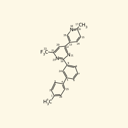 Cc1ccc(-c2cccc(-c3nc(-c4ccc(C)nc4)cc(C(F)(F)F)n3)c2)cc1